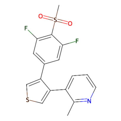 Cc1ncccc1-c1cscc1-c1cc(F)c(S(C)(=O)=O)c(F)c1